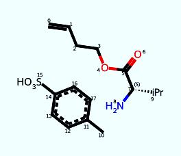 C=CCCOC(=O)[C@@H](N)C(C)C.Cc1ccc(S(=O)(=O)O)cc1